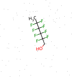 CC(F)(F)C(F)(F)C(F)(F)C(F)(F)[CH]O